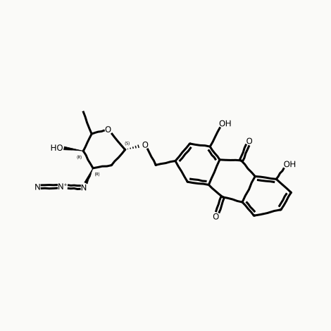 CC1O[C@H](OCc2cc(O)c3c(c2)C(=O)c2cccc(O)c2C3=O)C[C@@H](N=[N+]=[N-])[C@H]1O